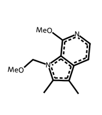 COCn1c(C)c(C)c2ccnc(OC)c21